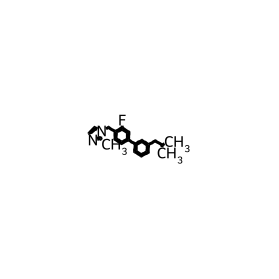 Cc1nccn1Cc1ccc(-c2cccc(CC(C)C)c2)cc1F